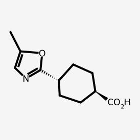 Cc1cnc([C@H]2CC[C@H](C(=O)O)CC2)o1